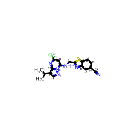 CC(C)c1cnn2c(NCc3nc4cc(C#N)ccc4s3)cc(Cl)nc12